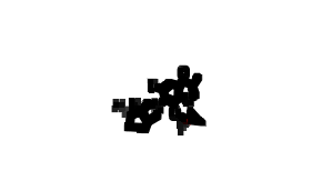 COc1c(N2CC3CCCC3(N)C2)c(F)cc2c(=O)c(C)cn([C@@H]3C[C@@H]3F)c12